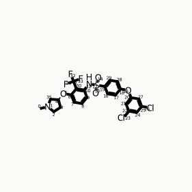 CN1CC[C@@H](Oc2cccc(NS(=O)(=O)c3ccc(Oc4cc(Cl)cc(Cl)c4)cc3)c2C(F)(F)F)C1